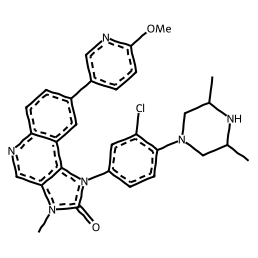 COc1ccc(-c2ccc3ncc4c(c3c2)n(-c2ccc(N3CC(C)NC(C)C3)c(Cl)c2)c(=O)n4C)cn1